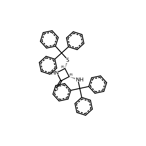 O=C1N[C@H](SC(c2ccccc2)(c2ccccc2)c2ccccc2)[C@@H]1NC(c1ccccc1)(c1ccccc1)c1ccccc1